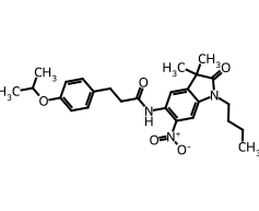 CCCCN1C(=O)C(C)(C)c2cc(NC(=O)CCc3ccc(OC(C)C)cc3)c([N+](=O)[O-])cc21